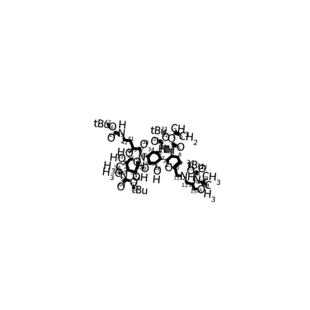 C=C(C)OC(=O)N[C@@H]1CC=C(CNCC2COC(C)(C)N2C(=O)OC(C)(C)C)O[C@@H]1C1[C@@H](NC(=O)OC(C)(C)C)C[C@@H](NC(=O)[C@@H](O)CCNC(=O)OC(C)(C)C)[C@H](O[C@H]2OC[C@](C)(O)[C@H](N(C)C(=O)OC(C)(C)C)[C@H]2O)[C@H]1O